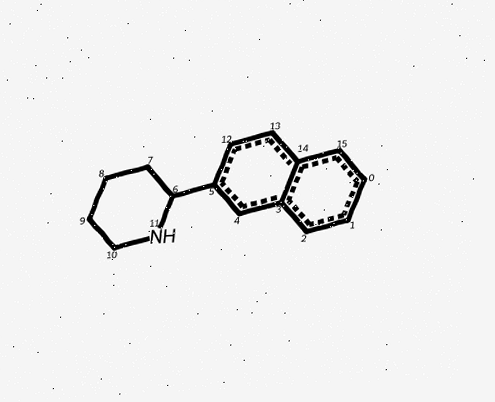 c1ccc2cc(C3CCCCN3)ccc2c1